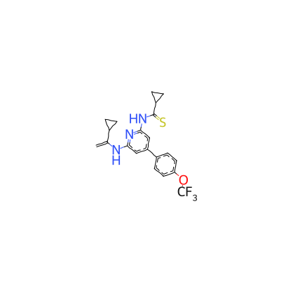 C=C(Nc1cc(-c2ccc(OC(F)(F)F)cc2)cc(NC(=S)C2CC2)n1)C1CC1